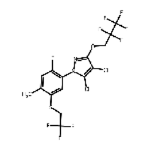 Cc1cc(F)c(-n2nc(OCC(F)(F)C(F)(F)F)c(Cl)c2Cl)cc1SCC(F)(F)F